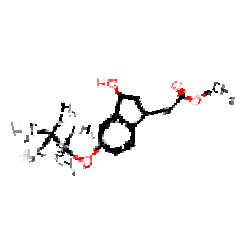 COC(=O)CC1CC(O)c2cc(O[Si](C)(C)C(C)(C)C)ccc21